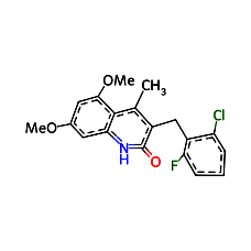 COc1cc(OC)c2c(C)c(Cc3c(F)cccc3Cl)c(=O)[nH]c2c1